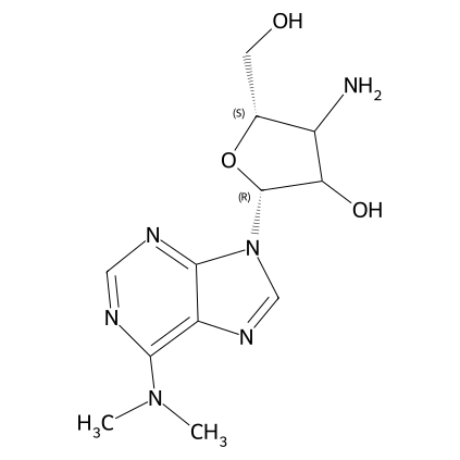 CN(C)c1ncnc2c1ncn2[C@@H]1O[C@H](CO)C(N)C1O